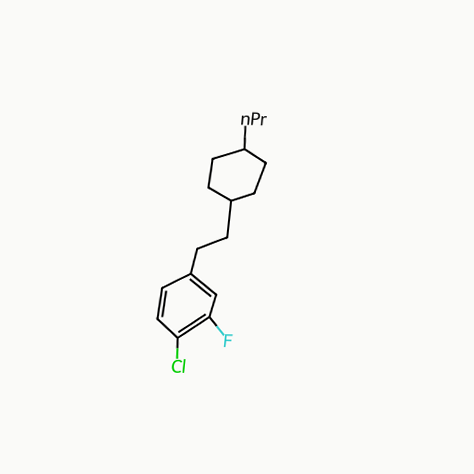 CCCC1CCC(CCc2ccc(Cl)c(F)c2)CC1